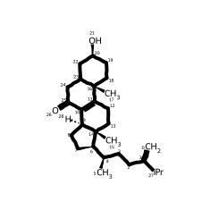 C=C(CC[C@@H](C)[C@H]1CC[C@H]2C3=C(CC[C@]12C)[C@@]1(C)CC[C@H](O)CC1CC3=O)C(C)C